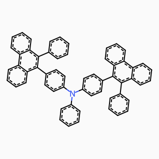 c1ccc(-c2c(-c3ccc(N(c4ccccc4)c4ccc(-c5c(-c6ccccc6)c6ccccc6c6ccccc56)cc4)cc3)c3ccccc3c3ccccc23)cc1